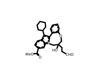 COC(=O)c1ccc2c(C3CCCCC3)c3n(c2c1)CC(O)(CCC=O)COc1ccccc1-3